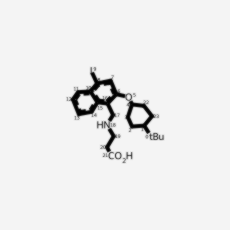 CC(C)(C)C1CCC(Oc2cc(I)c3ccccc3c2CNCCC(=O)O)CC1